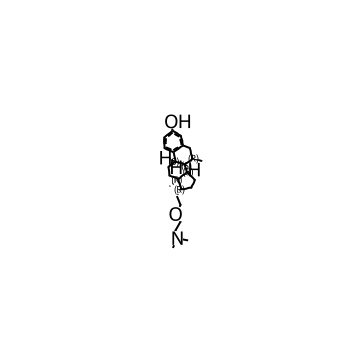 C[C@@H]1Cc2cc(O)ccc2[C@H]2CC[C@]3(C)[C@@H](CCOCCN(C)C)CC[C@H]3[C@H]12